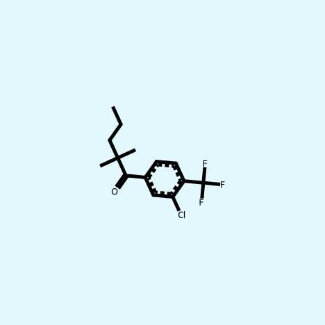 CCCC(C)(C)C(=O)c1ccc(C(F)(F)F)c(Cl)c1